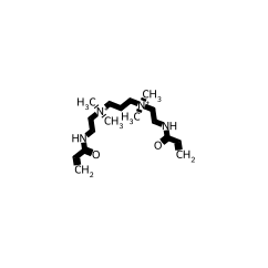 C=CC(=O)NCC[N+](C)(C)CCC[N+](C)(C)CCNC(=O)C=C